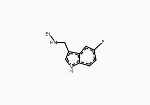 CCNCc1c[nH]c2ccc(F)cc12